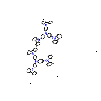 Cc1cccc(N(c2ccccc2)c2ccc(N(c3ccc(-n4c5ccccc5c5ccc(C)cc54)cc3)c3ccc(-n4c5ccc(-c6ccc7c(c6)c6ccccc6n7-c6ccc(N(c7ccc(-n8c9ccccc9c9ccccc98)cc7)c7ccc(-n8c9ccccc9c9ccccc98)cc7)cc6)cc5c5ccc(C)cc54)cc3)cc2)c1